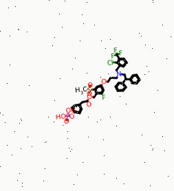 CS(=O)(=O)c1cc(OCCCN(Cc2cccc(C(F)(F)F)c2Cl)CC(c2ccccc2)c2ccccc2)cc(F)c1COC(=O)Cc1ccc(OP(=O)(O)O)cc1